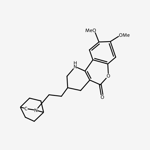 COc1cc2oc(=O)c3c(c2cc1OC)NCC(CCN1CC2CCC1CC2)C3